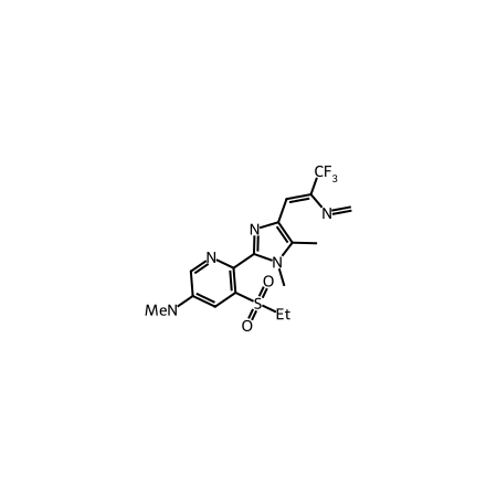 C=N/C(=C\c1nc(-c2ncc(NC)cc2S(=O)(=O)CC)n(C)c1C)C(F)(F)F